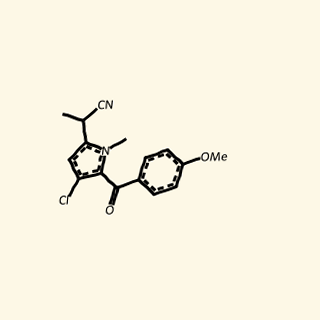 COc1ccc(C(=O)c2c(Cl)cc(C(C)C#N)n2C)cc1